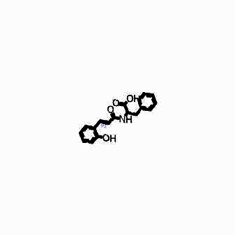 O=C(/C=C/c1ccccc1O)NC(Cc1ccccc1)C(=O)O